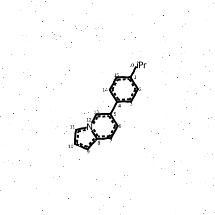 CC(C)c1ccc(-c2ccc3cccn3c2)cc1